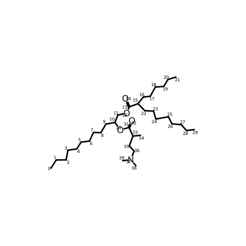 CCCCCCCCCCC(COC(=O)C(CCCCCC)CCCCCCCC)OC(=O)C(C)CCN(C)C